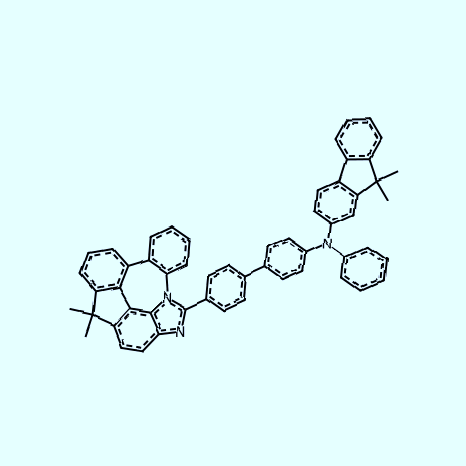 CC1(C)c2ccccc2-c2ccc(N(c3ccccc3)c3ccc(-c4ccc(-c5nc6ccc7c8c6n5-c5ccccc5-c5cccc(c5-8)C7(C)C)cc4)cc3)cc21